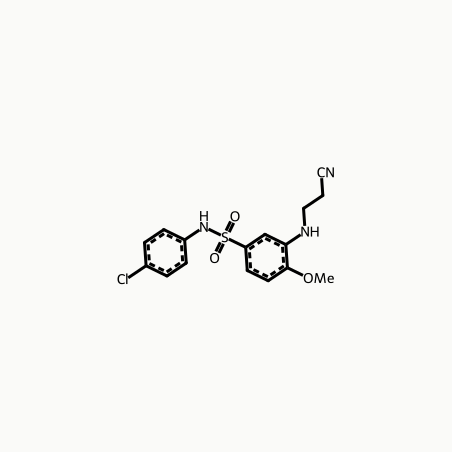 COc1ccc(S(=O)(=O)Nc2ccc(Cl)cc2)cc1NCCC#N